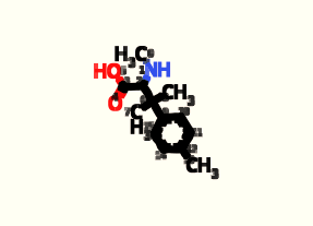 CNC(C(=O)O)C(C)(C)c1ccc(C)cc1